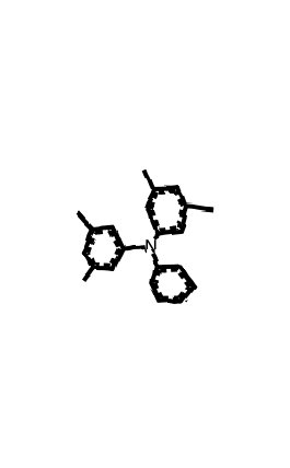 Cc1cc(C)cc(N(c2cc[c]cc2)c2cc(C)cc(C)c2)c1